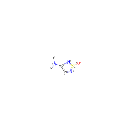 CN(C)c1cn[s+]([O-])n1